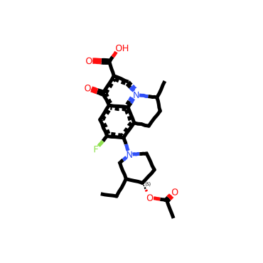 CCC1CN(c2c(F)cc3c(=O)c(C(=O)O)cn4c3c2CCC4C)CC[C@@H]1OC(C)=O